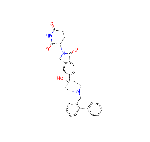 O=C1CCC(N2Cc3cc(C4(O)CCN(Cc5ccccc5-c5ccccc5)CC4)ccc3C2=O)C(=O)N1